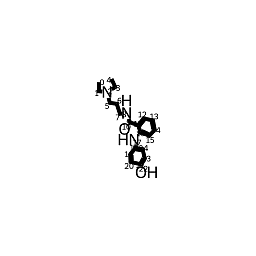 CCN(CC)CCCNC(=O)c1ccccc1Nc1ccc(O)cc1